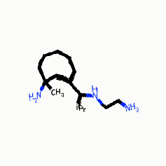 CC(C)C(NCCN)/C1=C\C(C)(N)CCCCC1